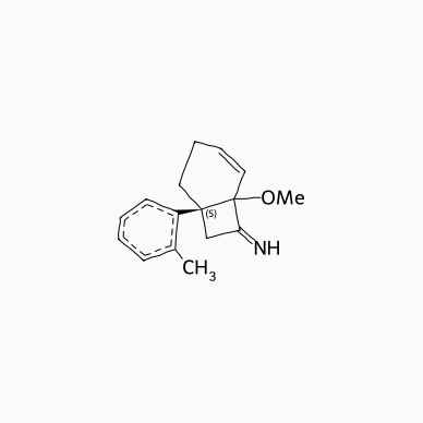 COC12C=CCC[C@@]1(c1ccccc1C)CC2=N